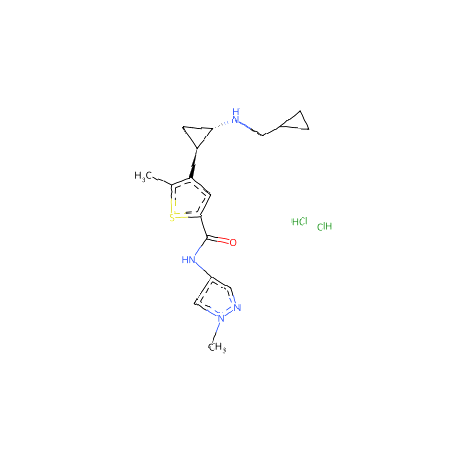 Cc1sc(C(=O)Nc2cnn(C)c2)cc1[C@H]1C[C@@H]1NCC1CC1.Cl.Cl